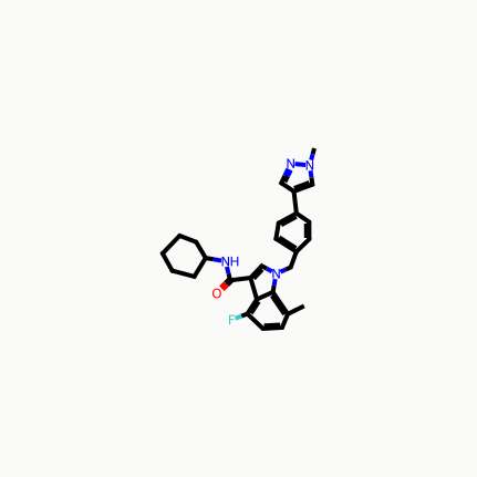 Cc1ccc(F)c2c(C(=O)NC3CCCCC3)cn(Cc3ccc(-c4cnn(C)c4)cc3)c12